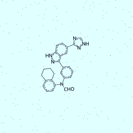 O=CN(c1cccc(-c2n[nH]c3ccc(-c4nc[nH]n4)cc23)c1)c1cccc2c1CCCC2